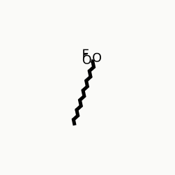 CCCCCCCCCCCCCC(=O)OF